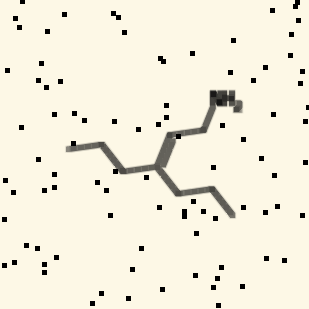 CCCC(=CCN)CCC